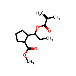 C=C(C)C(=O)OC(CC)C1CCCC1C(=O)OC